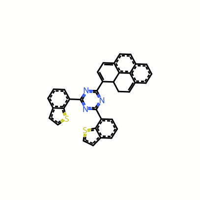 C1=C(c2nc(-c3cccc4ccsc34)nc(-c3cccc4ccsc34)n2)C2CC=c3cccc4ccc(c2c34)=C1